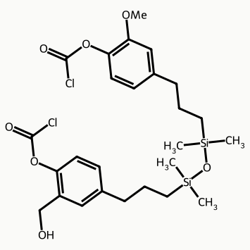 COc1cc(CCC[Si](C)(C)O[Si](C)(C)CCCc2ccc(OC(=O)Cl)c(CO)c2)ccc1OC(=O)Cl